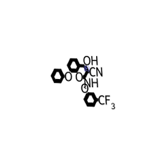 N#C/C(C(=O)NOc1cccc(C(F)(F)F)c1)=C(\O)c1cccc(Oc2ccccc2)c1